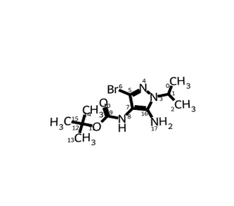 CC(C)n1nc(Br)c(NC(=O)OC(C)(C)C)c1N